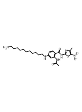 CC(=O)Nc1cc(NCCCCCCCCCCCN)ccc1C(=O)Nc1nc(C)c([N+](=O)[O-])s1